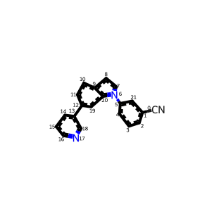 N#Cc1cccc(-n2ccc3ccc(-c4cccnc4)cc32)c1